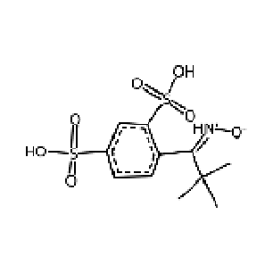 CC(C)(C)C(=[NH+][O-])c1ccc(S(=O)(=O)O)cc1S(=O)(=O)O